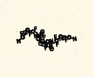 N#Cc1ccc(COc2cccc(-c3cc(F)c(Cc4nc5ccc(C(=O)OC(=O)c6ccc7nc(Cc8cc(F)c(-c9cccc(OCc%10ccc(C#N)cc%10F)n9)cc8F)n([C@@H]8COC[C@H]8C(F)F)c7c6)cc5n4[C@@H]4COC[C@H]4C(F)F)cc3F)n2)c(F)c1